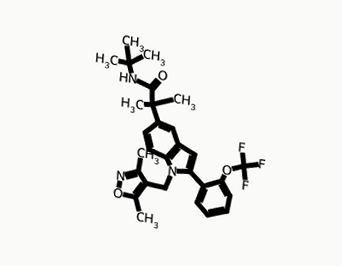 Cc1noc(C)c1Cn1c(-c2ccccc2OC(F)(F)F)cc2cc(C(C)(C)C(=O)NC(C)(C)C)ccc21